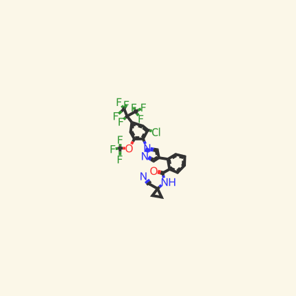 N#CC1(NC(=O)c2ccccc2-c2cnn(-c3c(Cl)cc(C(F)(C(F)(F)F)C(F)(F)F)cc3OC(F)(F)F)c2)CC1